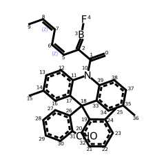 C=C(C(=BF)/C=C\C=C/C)N1c2ccc(C)cc2C(c2ccccc2C)(c2ccccc2C=O)c2cc(C)ccc21